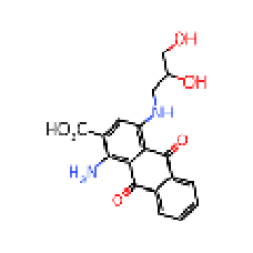 Nc1c(C(=O)O)cc(NCC(O)CO)c2c1C(=O)c1ccccc1C2=O